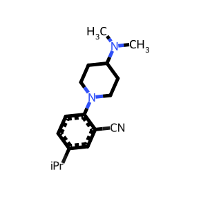 CC(C)c1ccc(N2CCC(N(C)C)CC2)c(C#N)c1